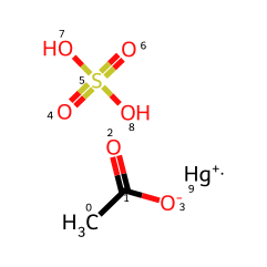 CC(=O)[O-].O=S(=O)(O)O.[Hg+]